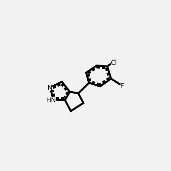 Fc1cc(C2CCc3[nH]ncc32)ccc1Cl